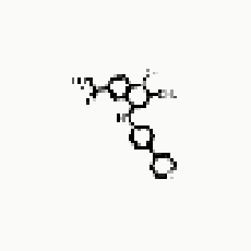 CC(=O)N1c2ccc(C(N)=O)cc2C(Nc2ccc(C3CCOCC3)cc2)CC1C